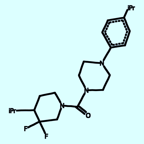 CC(C)c1ccc(N2CCN(C(=O)N3CCC(C(C)C)C(F)(F)C3)CC2)cc1